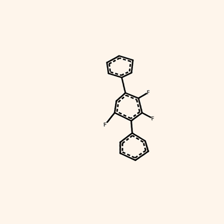 Fc1cc(-c2ccccc2)c(F)c(F)c1-c1ccccc1